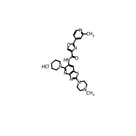 Cc1cc(-c2nc(C(=O)Nc3cc4sc(N5CCN(C)CC5)nc4nc3N3CCCCC3)co2)ccn1.Cl